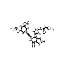 C=CC(=O)NC1CCN([C@H]2c3c[nH]cc3NCN2C#Cc2cc(OC)cc(OC)c2)C1